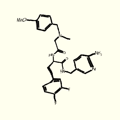 COc1ccc(CN(C)CC(=O)NC(Cc2ccc(F)c(F)c2)C(=O)NCc2ccc(N)nc2)cc1